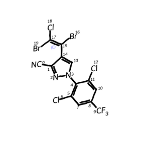 N#Cc1nn(-c2c(Cl)cc(C(F)(F)F)cc2Cl)cc1/C(Br)=C(/Cl)Br